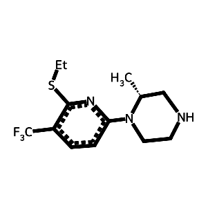 CCSc1nc(N2CCNC[C@H]2C)ccc1C(F)(F)F